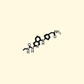 CCNC(=O)Nc1cc2cccc(Nc3ccc(CC(N)=O)cc3)c2cn1